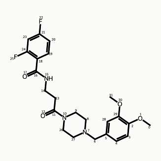 COc1ccc(CN2CCN(C(=O)CCNC(=O)c3ccc(F)cc3F)CC2)cc1OC